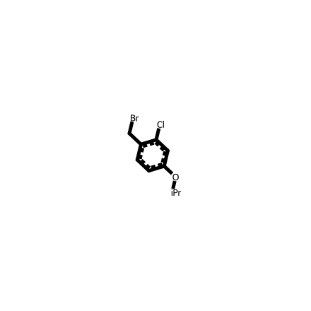 CC(C)Oc1ccc(CBr)c(Cl)c1